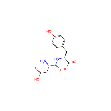 N[C@H](CC(=O)O)C(=O)N[C@@H](Cc1ccc(O)cc1)C(=O)O